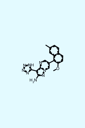 COc1ccc2ccc(C)cc2c1-c1cnc2c(-c3nnn[nH]3)c(N)nn2c1